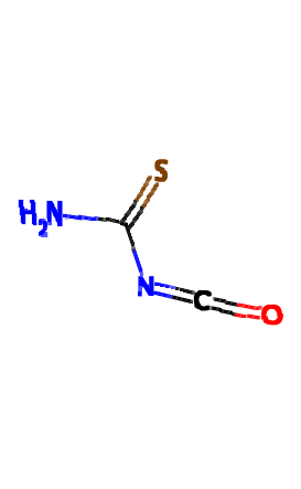 NC(=S)N=C=O